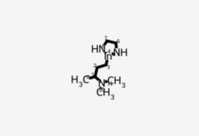 CC(C[CH2][In]1[NH]CC[NH]1)N(C)C